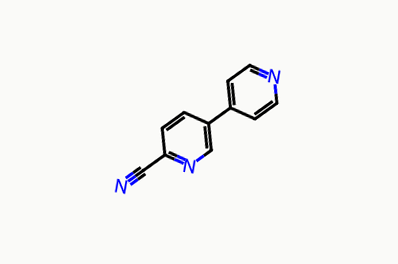 N#Cc1ccc(-c2ccncc2)cn1